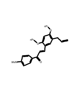 C=CCc1cc(C=CC(=O)c2ccc(NC)cc2)c(OCCC)cc1OCCC